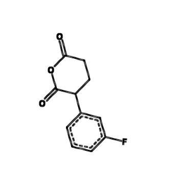 O=C1CCC(c2cccc(F)c2)C(=O)O1